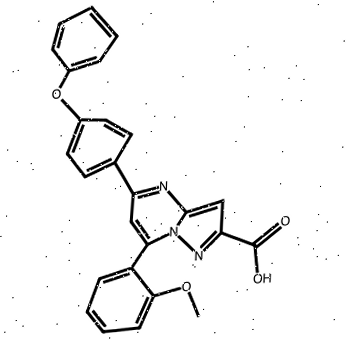 COc1ccccc1-c1cc(-c2ccc(Oc3ccccc3)cc2)nc2cc(C(=O)O)nn12